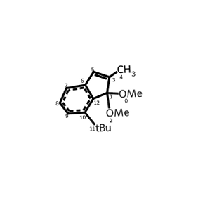 COC1(OC)C(C)=Cc2cccc(C(C)(C)C)c21